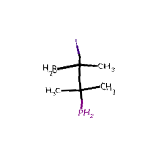 BC(C)(I)C(C)(C)P